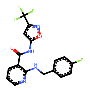 O=C(Nc1cc(C(F)(F)F)no1)c1cccnc1NCc1ccc(F)cc1